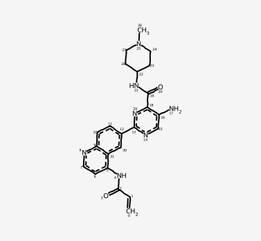 C=CC(=O)Nc1ccnc2ccc(-c3ncc(N)c(C(=O)NC4CCN(C)CC4)n3)cc12